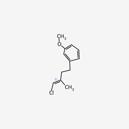 COc1cccc(CC/C(C)=C/Cl)c1